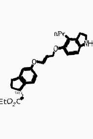 CCCc1c(OCCCOc2ccc3c(c2)CC[C@H]3CC(=O)OCC)ccc2c1CCN2